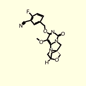 COc1c(OCc2ccc(F)c(C#N)c2)nc(=O)n2c1N1C[C@@H]3C[C@]1(CO3)C2